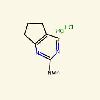 CNc1ncc2c(n1)CCC2.Cl.Cl